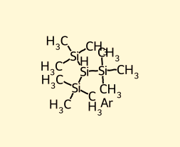 C[Si](C)(C)[SiH]([Si](C)(C)C)[Si](C)(C)C.[Ar]